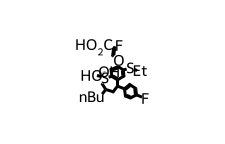 CCCCC1CC(c2ccc(F)cc2)c2cc(SCC)c(OC=C(F)C(=O)O)cc2S(O)(O)C1